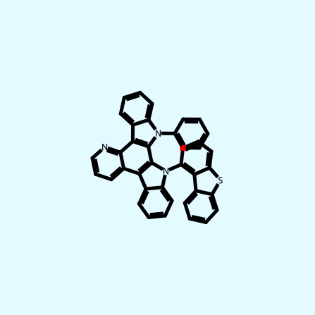 c1ccc(-n2c3ccccc3c3c4ncccc4c4c5ccccc5n(-c5cccc6sc7ccccc7c56)c4c32)cc1